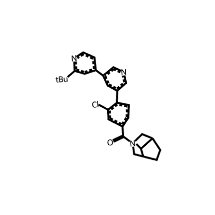 CC1C2CCC1CN(C(=O)c1ccc(-c3cncc(-c4ccnc(C(C)(C)C)c4)c3)c(Cl)c1)C2